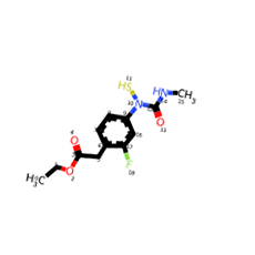 CCOC(=O)Cc1ccc(N(S)C(=O)NC)cc1F